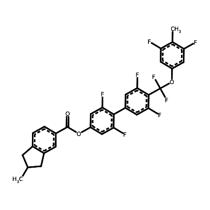 Cc1c(F)cc(OC(F)(F)c2c(F)cc(-c3c(F)cc(OC(=O)c4ccc5c(c4)CC(C)C5)cc3F)cc2F)cc1F